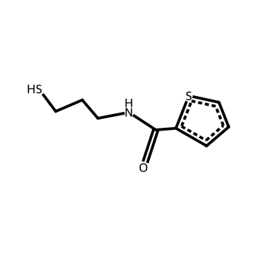 O=C(NCCCS)c1cccs1